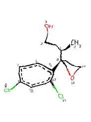 C[C@H](CO)[C@]1(c2ccc(Cl)cc2Cl)CO1